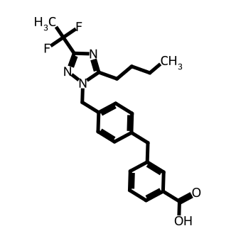 CCCCc1nc(C(C)(F)F)nn1Cc1ccc(Cc2cccc(C(=O)O)c2)cc1